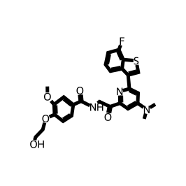 COc1cc(C(=O)NCC(=O)c2cc(N(C)C)cc(-c3csc4c(F)cccc34)n2)ccc1OCCO